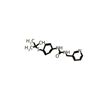 CC(C)(C)Sc1ccc(NC(=O)NCc2cccnc2)cc1